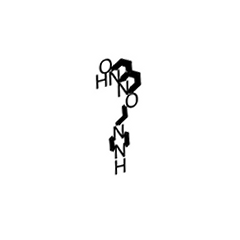 O=c1ccc2ccc(OCCCN3CCNCC3)nc2[nH]1